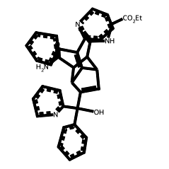 CCOC(=O)CNC(=O)C1C2C=C(C(O)(c3ccccc3)c3ccccn3)C(C2=C(c2ccccc2)c2ccccn2)C1C(N)=O